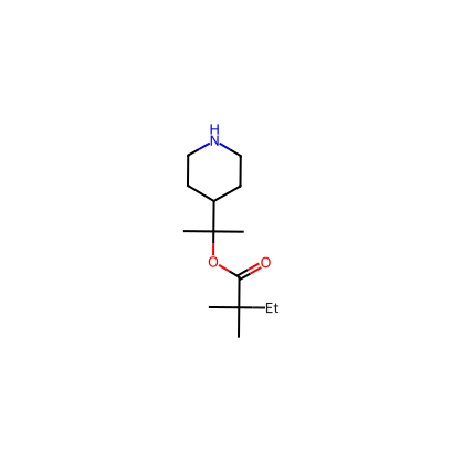 CCC(C)(C)C(=O)OC(C)(C)C1CCNCC1